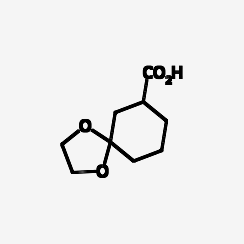 O=C(O)C1CCCC2(C1)OCCO2